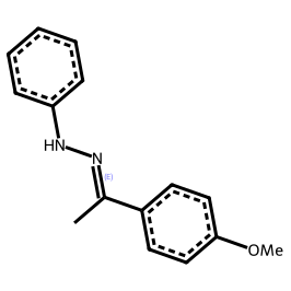 COc1ccc(/C(C)=N/Nc2ccccc2)cc1